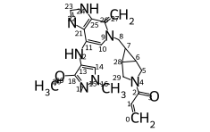 C=CC(=O)N1CC2C(CN3C=C(Nc4cn(C)nc4OC)c4nc[nH]c4C3=C)C2C1